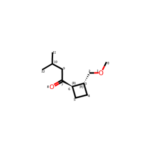 COC[C@@H]1CC[C@H]1C(=O)CC(C)C